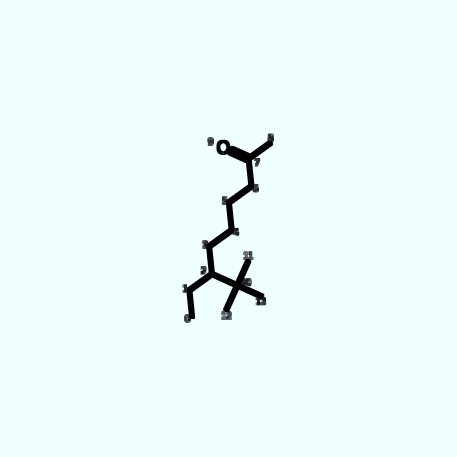 CCC(CCCCC(C)=O)C(C)(C)C